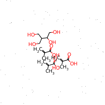 C=C(C)C(=O)O.C=C(C)C(=O)O.C=C(C)C(=O)O.OCC(O)C(CO)CO